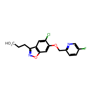 O=C(O)CCc1noc2cc(OCc3ccc(F)cn3)c(Cl)cc12